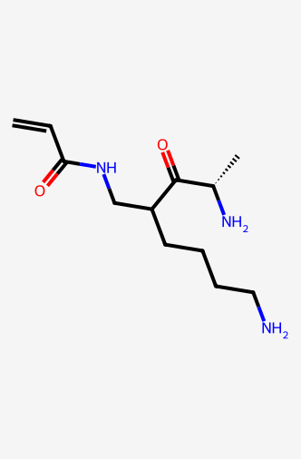 C=CC(=O)NCC(CCCCN)C(=O)[C@H](C)N